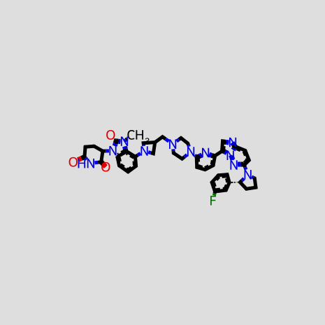 Cn1c(=O)n(C2CCC(=O)NC2=O)c2cccc(N3CC(CN4CCN(c5cccc(-c6cnc7ccc(N8CCC[C@@H]8c8cccc(F)c8)nn67)n5)CC4)C3)c21